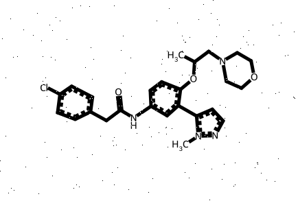 CC(CN1CCOCC1)Oc1ccc(NC(=O)Cc2ccc(Cl)cc2)cc1-c1ccnn1C